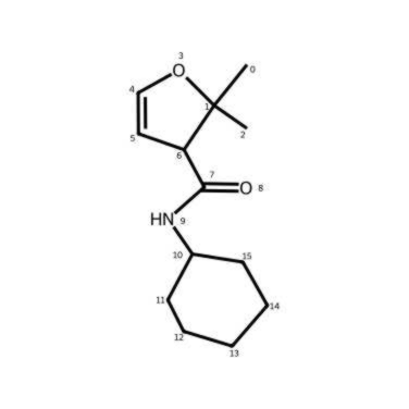 CC1(C)OC=CC1C(=O)NC1CCCCC1